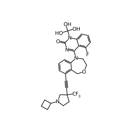 O=c1nc(N2CCOCc3c(C#CC4(C(F)(F)F)CCN(C5CCC5)C4)cccc32)c2c(F)cccc2n1C(O)(O)O